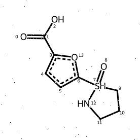 O=C(O)c1ccc([SH]2(=O)CCCN2)o1